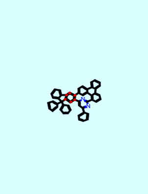 c1ccc(-c2cc(-c3ccccc3)nc(-c3cccc4c5ccccc5c5ccc(-c6ccc7c(c6)-c6ccccc6C7(c6ccccc6)c6ccccc6)cc5c34)n2)cc1